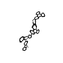 c1ccc2c(c1)sc1ccc(-n3c4ccccc4c4cc(-c5ccc6c(c5)c5ccccc5c5cc7c(cc65)sc5cc6c8ccccc8c8ccccc8c6cc57)ccc43)cc12